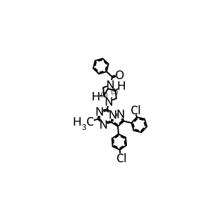 Cc1nc(N2C[C@@H]3C[C@H]2CN3C(=O)c2ccccc2)n2nc(-c3ccccc3Cl)c(-c3ccc(Cl)cc3)c2n1